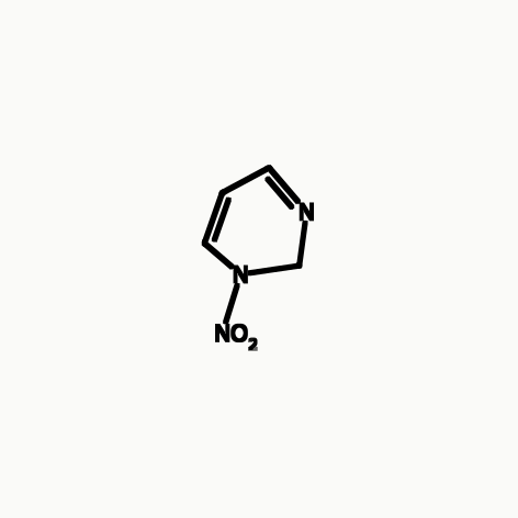 O=[N+]([O-])N1C=CC=NC1